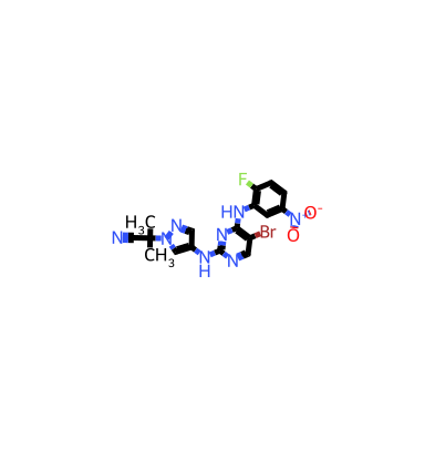 CC(C)(C#N)n1cc(Nc2ncc(Br)c(Nc3cc([N+](=O)[O-])ccc3F)n2)cn1